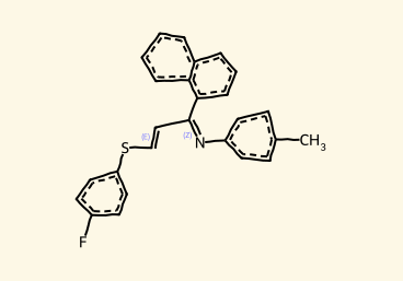 Cc1ccc(/N=C(/C=C/Sc2ccc(F)cc2)c2cccc3ccccc23)cc1